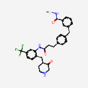 CNC(=O)c1cccc(Cc2ccc(CCC(=O)Nc3cc(C(F)(F)F)ccc3CC3CCNCC3=O)cc2)c1